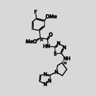 COc1cc([C@H](OC)C(=O)Nc2nnc(N[C@@H]3CCN(c4nccnn4)C3)s2)ccc1F